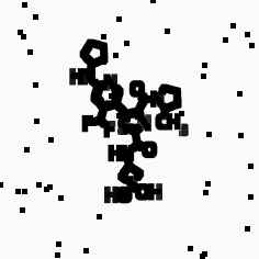 CC1CCCN1C(=O)c1nc(C(=O)NC2CS(O)(O)C2)sc1-c1cnc(NC2CCCC2)cc1C(F)F